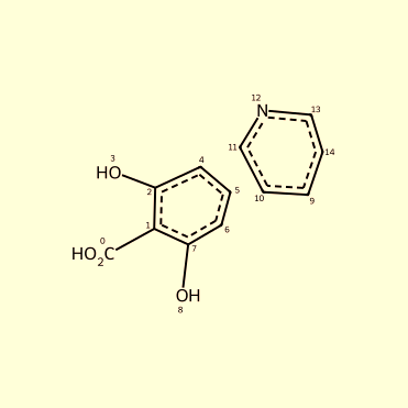 O=C(O)c1c(O)cccc1O.c1ccncc1